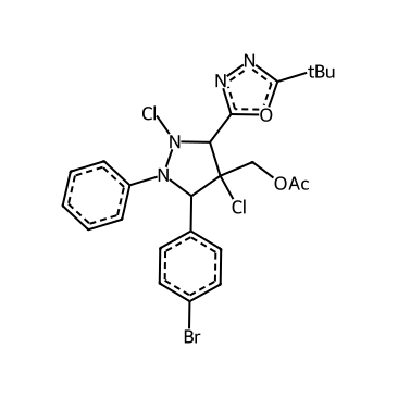 CC(=O)OCC1(Cl)C(c2nnc(C(C)(C)C)o2)N(Cl)N(c2ccccc2)C1c1ccc(Br)cc1